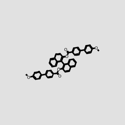 COc1ccc(-c2ccc(C(=O)Oc3ccc4ccccc4c3-c3c(OC(=O)c4ccc(-c5ccc(OC)cc5)cc4)ccc4ccccc34)cc2)cc1